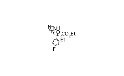 CCOC(=O)C(CC)C(O)(Cn1cncn1)c1ccc(F)cc1